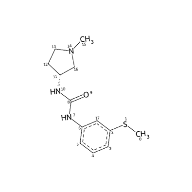 CSc1cccc(NC(=O)N[C@@H]2CCN(C)C2)c1